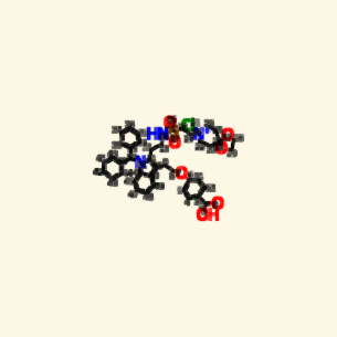 O=C(O)c1ccc(OCCc2c(CCNS(=O)(=O)CC[N+]3(Cl)CCC4(CC3)OCCO4)n(C(c3ccccc3)c3ccccc3)c3ccccc23)cc1